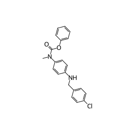 CN(C(=O)Oc1ccccc1)c1ccc(NCc2ccc(Cl)cc2)cc1